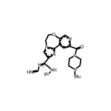 CC(C)N/C(=N\C=N)c1cn2c(n1)-c1cc(C(=O)N3CCN(C(C)(C)C)CC3)ncc1OCC2